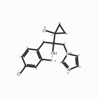 OC(Cc1ccc(Cl)cc1F)(Cn1ccnc1)C1(Cl)CC1